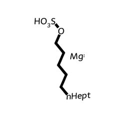 CCCCCCCCCCCCOS(=O)(=O)O.[Mg]